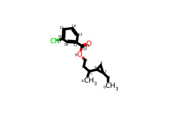 CCC1CC1C(C)CCOC(=O)c1[c]ccc(Cl)c1